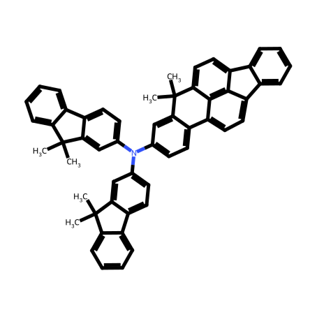 CC1(C)c2ccccc2-c2ccc(N(c3ccc4c(c3)C(C)(C)c3ccccc3-4)c3ccc4c(c3)C(C)(C)c3ccc5c6c(ccc-4c36)-c3ccccc3-5)cc21